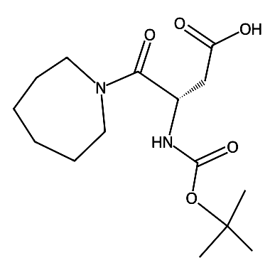 CC(C)(C)OC(=O)N[C@@H](CC(=O)O)C(=O)N1CCCCCC1